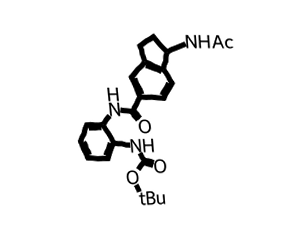 CC(=O)NC1CCc2cc(C(=O)Nc3ccccc3NC(=O)OC(C)(C)C)ccc21